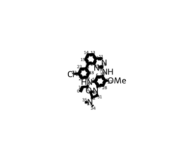 C=CC(=O)Nc1cc(Nc2ncc3cccc(-c4cccc(Cl)c4)c3n2)c(OC)cc1N1CC(N(C)C)C1